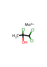 CC(O)(Cl)C(Cl)Cl.[Mo+5]